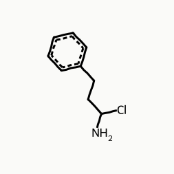 NC(Cl)CCc1ccccc1